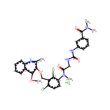 COc1c(OCc2c(Cl)ccc(N(C)C(=O)CNC(=O)Nc3cccc(C(=O)N(C)C)c3)c2Cl)c(C)nc2ccccc12.Cl